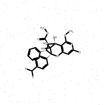 COC(=O)[C@@H]1[C@@H](c2ccccc2)[C@]2(c3ccc(C(F)F)cc3)Oc3cc(Cl)nc(OC)c3[C@@]1(O)C2(O)O